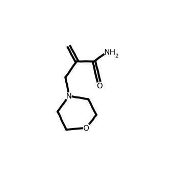 C=C(CN1CCOCC1)C(N)=O